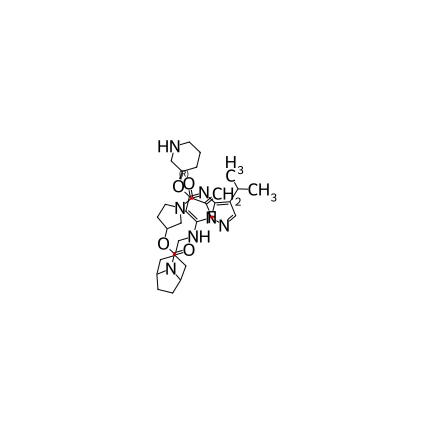 C=C(F)C(=O)N1CCC(OC(=O)N2C3CCC2CC(CNc2cc(O[C@@H]4CCCNC4)nc4c(C(C)C)cnn24)C3)C1